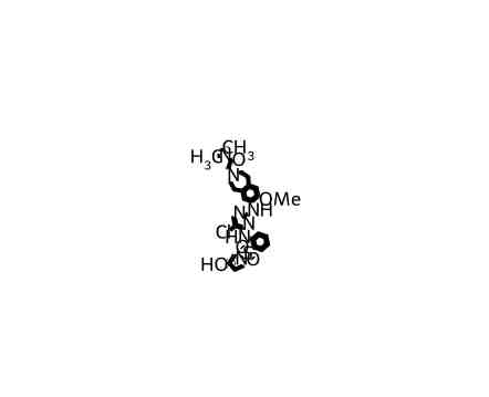 COc1cc2c(cc1Nc1ncc(Cl)c(Nc3ccccc3S(=O)(=O)N3CC[C@H](O)C3)n1)CCN(CC(=O)N(C)C)CC2